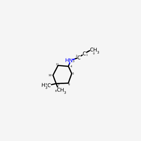 CCCNC1CCC(C)(C)CC1